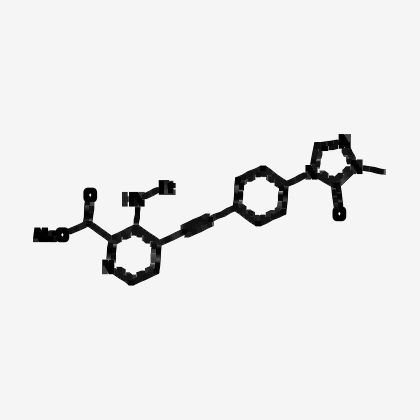 CCNc1c(C#Cc2ccc(-n3cnn(C)c3=O)cc2)ccnc1C(=O)OC